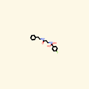 O=C(CCNC(O)(O)c1ccc(F)cc1)NCCc1ccccc1